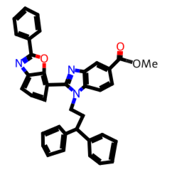 COC(=O)c1ccc2c(c1)nc(-c1cccc3nc(-c4ccccc4)oc13)n2CCC(c1ccccc1)c1ccccc1